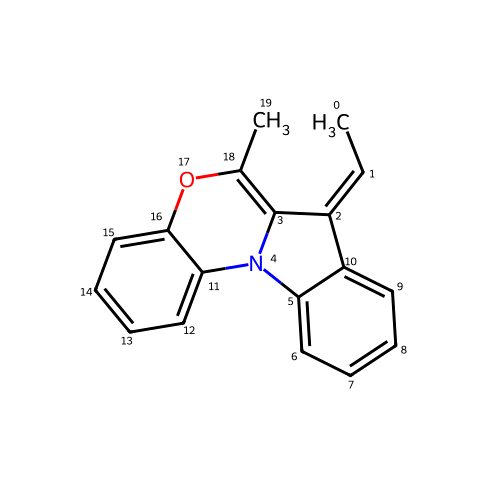 C/C=c1\c2n(c3ccccc13)-c1ccccc1OC=2C